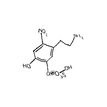 NCCc1cc(O)c(O)cc1[N+](=O)[O-].O=S(=O)(O)O